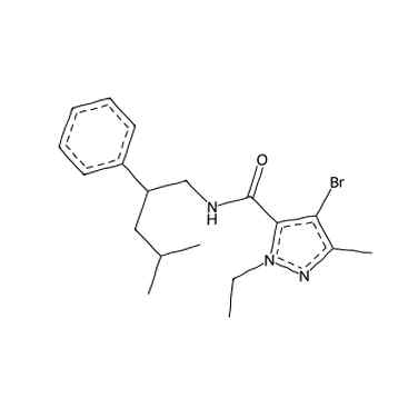 CCn1nc(C)c(Br)c1C(=O)NCC(CC(C)C)c1ccccc1